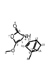 COc1c[nH]c(=O)o1.Cc1ccc2cc1C2